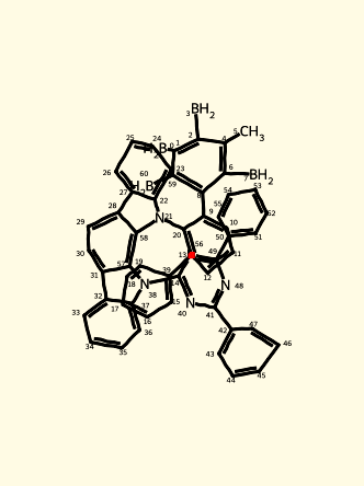 Bc1c(B)c(C)c(B)c(-c2cccc(-c3ccccc3)c2-n2c3ccccc3c3ccc4c5ccccc5n(-c5nc(-c6ccccc6)nc(-c6ccccc6)n5)c4c32)c1B